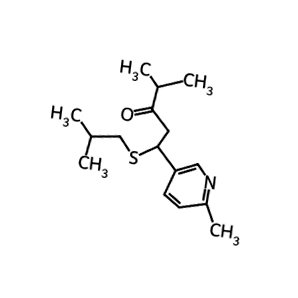 Cc1ccc(C(CC(=O)C(C)C)SCC(C)C)cn1